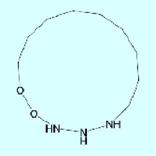 C1CCCCNNNOOCCCC1